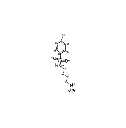 CCC[N]CCCCNS(=O)(=O)c1ccc(C)cc1